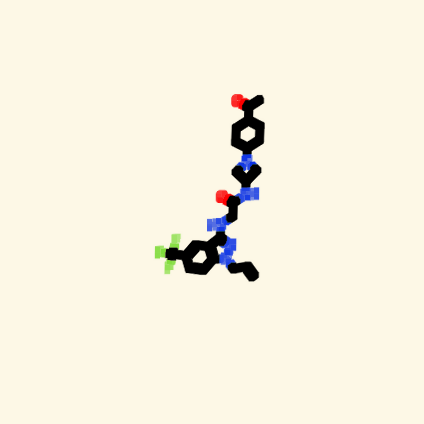 C=CCn1nc(NCC(=O)NC2CN(C3CCC(C(C)=O)CC3)C2)c2cc(C(F)(F)F)ccc21